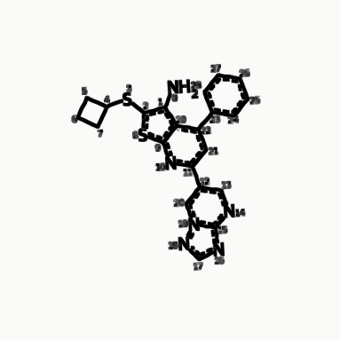 Nc1c(SC2CCC2)sc2nc(-c3cnc4ncnn4c3)cc(-c3ccccc3)c12